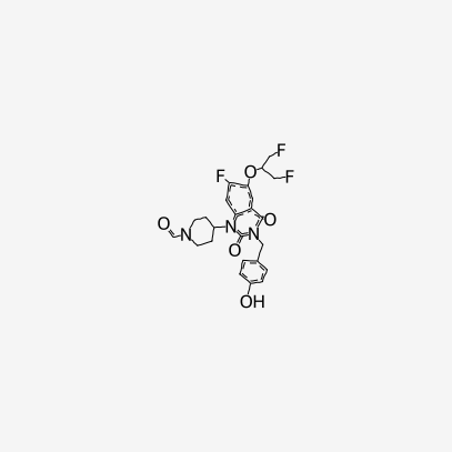 O=CN1CCC(n2c(=O)n(Cc3ccc(O)cc3)c(=O)c3cc(OC(CF)CF)c(F)cc32)CC1